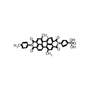 Cc1ccc(N2C(=O)c3ccc4c5c(C)cc6c7c(ccc(c8c(C)cc(c3c48)C2=O)c75)C(=O)N(c2ccc(P(=O)(O)O)cc2)C6=O)cc1